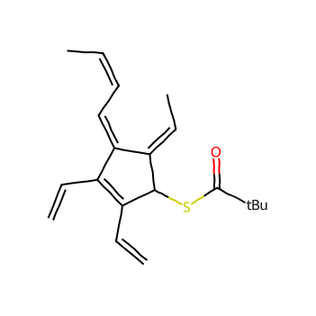 C=CC1=C(C=C)C(SC(=O)C(C)(C)C)C(=C/C)/C1=C\C=C/C